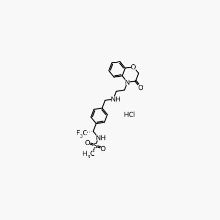 CS(=O)(=O)N[C@@H](c1ccc(CNCCN2C(=O)COc3ccccc32)cc1)C(F)(F)F.Cl